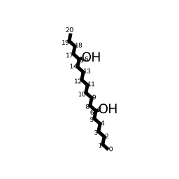 CCCCCCC(O)CCCCCCCC(O)CCCC